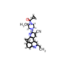 C=Cc1cc(-c2cc(C#N)c(N3CCN(C(=O)C4CC4)[C@H](C)C3)nc2C2CC2)c2ccccc2n1